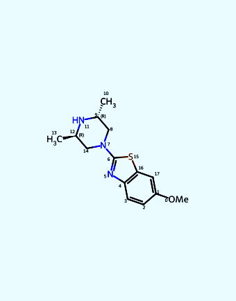 COc1ccc2nc(N3C[C@@H](C)N[C@H](C)C3)sc2c1